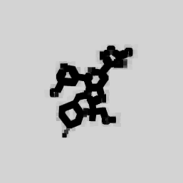 COCC(C)(F)c1nc2cc(-c3noc(=O)[nH]3)nc(-c3cncc(Cl)c3)c2n1C[C@H]1CC[C@H](C)CC1